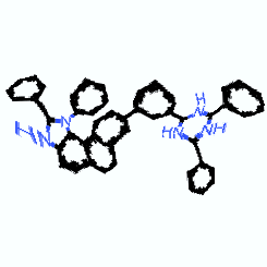 c1ccc(C2NC(c3ccccc3)NC(c3cccc(-c4ccc5c(ccc6ccc7c(c65)N(c5ccccc5)C(c5ccccc5)N7)c4)c3)N2)cc1